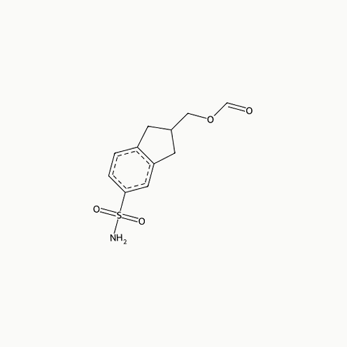 NS(=O)(=O)c1ccc2c(c1)CC(COC=O)C2